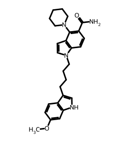 COc1ccc2c(CCCCn3ccc4c(N5CCCCC5)c(C(N)=O)ccc43)c[nH]c2c1